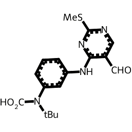 CSc1ncc(C=O)c(Nc2cccc(N(C(=O)O)C(C)(C)C)c2)n1